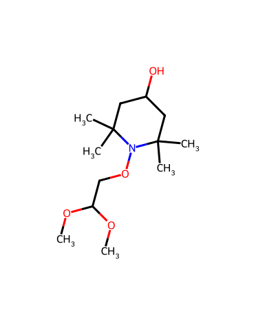 COC(CON1C(C)(C)CC(O)CC1(C)C)OC